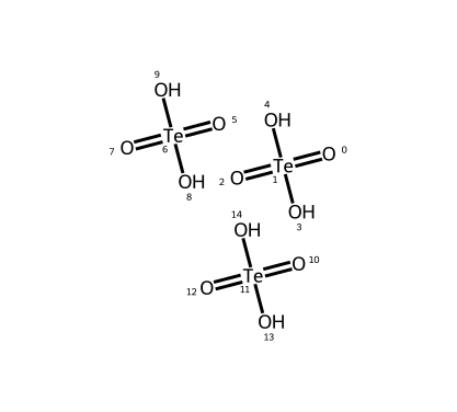 O=[Te](=O)(O)O.O=[Te](=O)(O)O.O=[Te](=O)(O)O